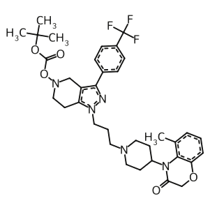 Cc1cccc2c1N(C1CCN(CCCn3nc(-c4ccc(C(F)(F)F)cc4)c4c3CCN(OC(=O)OC(C)(C)C)C4)CC1)C(=O)CO2